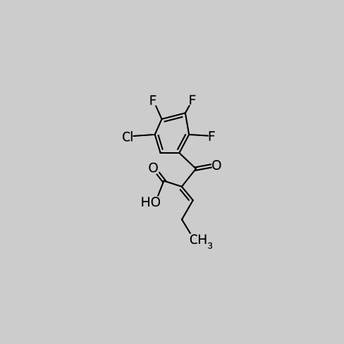 CCC=C(C(=O)O)C(=O)c1cc(Cl)c(F)c(F)c1F